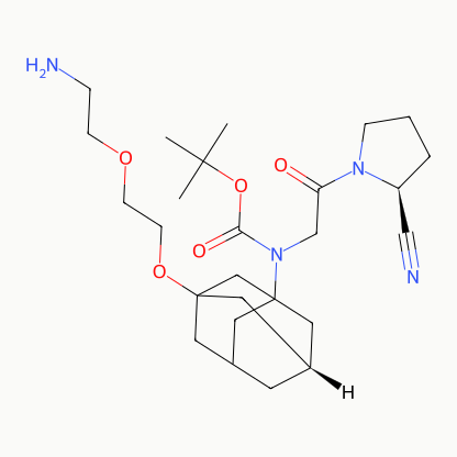 CC(C)(C)OC(=O)N(CC(=O)N1CCC[C@H]1C#N)C12CC3C[C@H](CC(OCCOCCN)(C3)C1)C2